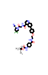 CC(C)(C)OC(=O)NC1CCC(C(=O)NCCOc2ccc(-c3ccc4nccc(C(=O)NCC(=O)N5CC(F)(F)C[C@H]5C#N)c4c3)cc2)CC1